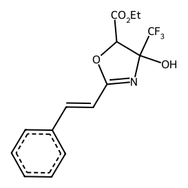 CCOC(=O)C1OC(C=Cc2ccccc2)=NC1(O)C(F)(F)F